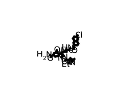 CCn1nc(C)cc1C(=O)Nc1nc2cc(C(N)=O)cc(OC)c2n1CC=CCNC(=O)c1ccc2cc(Cl)ccc2c1